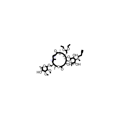 C#CCCN(C)[C@@H]1[C@@H](O)[C@H](O[C@H]2[C@@H](CC(OCC)OCC)C[C@@H](C)C(=O)/C=C/C(C)=C/[C@H](COC3O[C@H](C)[C@@H](O)[C@@H](OC)[C@H]3OC)[C@@H](I)OC(=O)C[C@@H](O)[C@@H]2C)O[C@H](C)[C@H]1O